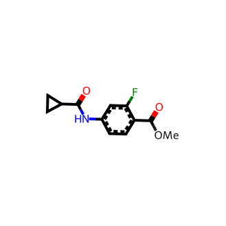 COC(=O)c1ccc(NC(=O)C2CC2)cc1F